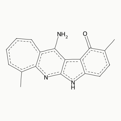 Cc1ccc2[nH]c3nc4c(C)ccccc4c(N)c3c2c1=O